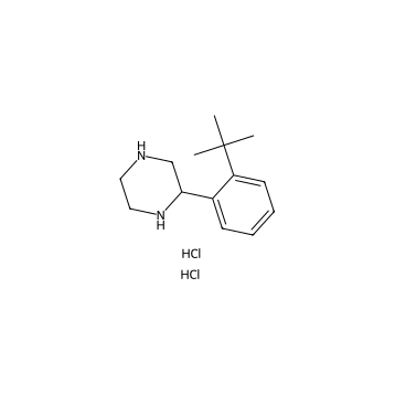 CC(C)(C)c1ccccc1C1CNCCN1.Cl.Cl